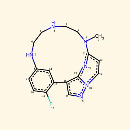 CN1CCNCCNc2ccc(F)c(c2)-c2cnn3ccc1nc23